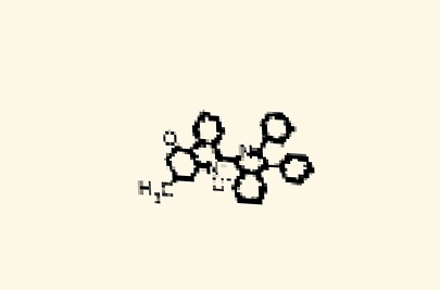 CC1CC(=O)c2c([n+]([O-])c(-c3nc(-c4ccccc4)c(-c4ccccc4)c4ccccc34)c3ccccc23)C1